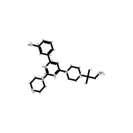 CC(C)(CN)N1CCN(c2cc(-c3cccc(O)c3)nc(N3CCOCC3)n2)CC1